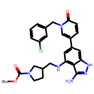 CC(C)(C)OC(=O)N1CCC(CNc2cc(-c3ccc(=O)n(Cc4cccc(Cl)c4)c3)cc3[nH]nc(N)c23)C1